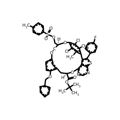 Cc1ccc(S(=O)(=O)OC[C@@H]2COc3ccc(OCc4ccccc4)c(c3)C[C@H](C(=O)OC(C)(C)C)Oc3ncnc4sc(-c5ccc(F)cc5)c(c34)-c3c(C)c(Cl)c(c(Cl)c3C)O2)cc1